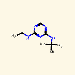 CCNc1ncnc(NC(C)(C)C)n1